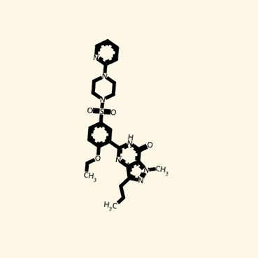 CCCc1nn(C)c2c(=O)[nH]c(-c3cc(S(=O)(=O)N4CCN(c5ccccn5)CC4)ccc3OCC)nc12